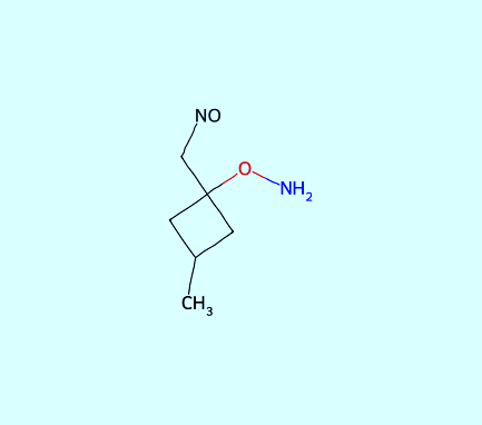 CC1CC(CN=O)(ON)C1